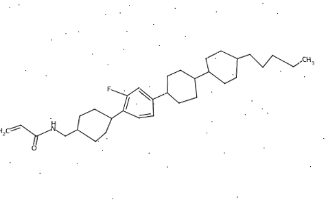 C=CC(=O)NCC1CCC(c2ccc(C3CCC(C4CCC(CCCCC)CC4)CC3)cc2F)CC1